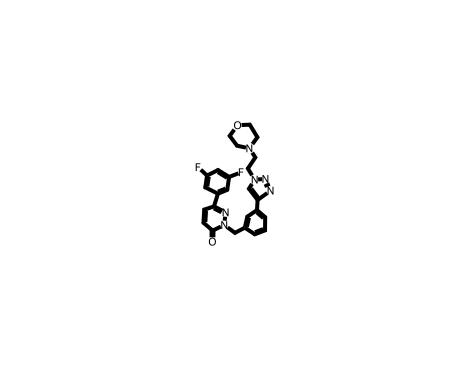 O=c1ccc(-c2cc(F)cc(F)c2)nn1Cc1cccc(-c2cn(CCN3CCOCC3)nn2)c1